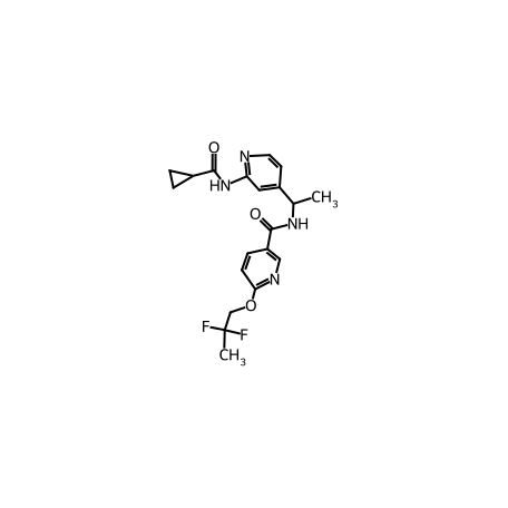 CC(NC(=O)c1ccc(OCC(C)(F)F)nc1)c1ccnc(NC(=O)C2CC2)c1